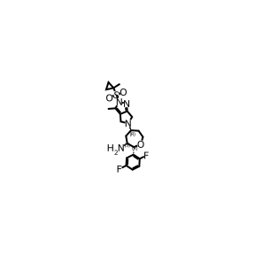 Cc1c2c(nn1S(=O)(=O)C1(C)CC1)CN([C@H]1CCO[C@H](c3cc(F)ccc3F)[C@@H](N)C1)C2